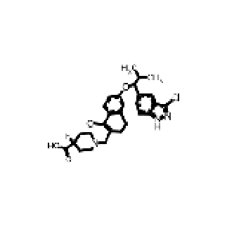 CC(C)C(Oc1ccc2c(c1)CCC(CN1CCC(F)(C(=O)O)CC1)=C2Cl)c1ccc2[nH]nc(Cl)c2c1